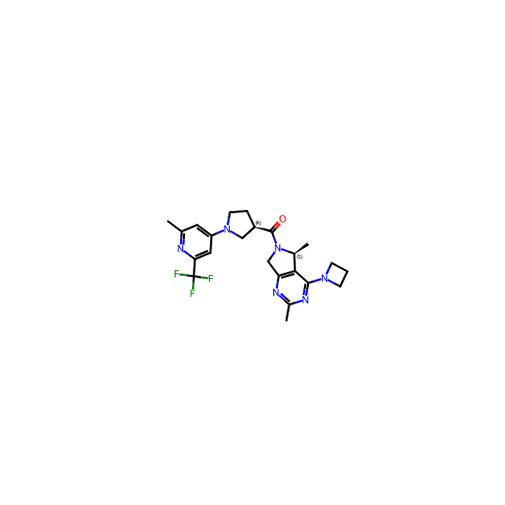 Cc1cc(N2CC[C@@H](C(=O)N3Cc4nc(C)nc(N5CCC5)c4[C@@H]3C)C2)cc(C(F)(F)F)n1